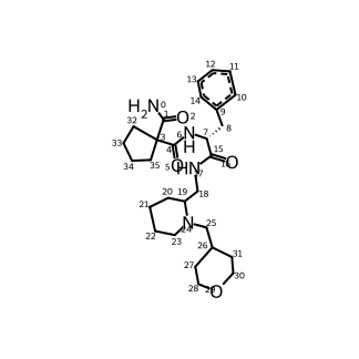 NC(=O)C1(C(=O)N[C@H](Cc2ccccc2)C(=O)NCC2CCCCN2CC2CCOCC2)CCCC1